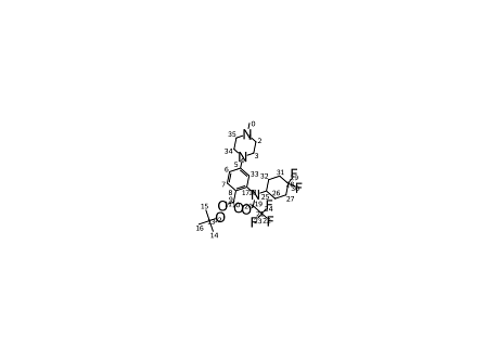 CN1CCN(c2ccc(C(=O)OOC(C)(C)C)c(N(C(=O)C(F)(F)F)C3CCC(F)(F)CC3)c2)CC1